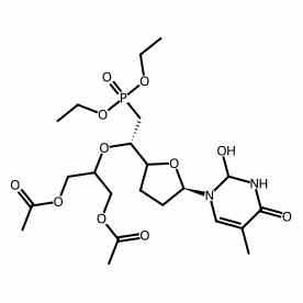 CCOP(=O)(C[C@@H](OC(COC(C)=O)COC(C)=O)C1CC[C@H](N2C=C(C)C(=O)NC2O)O1)OCC